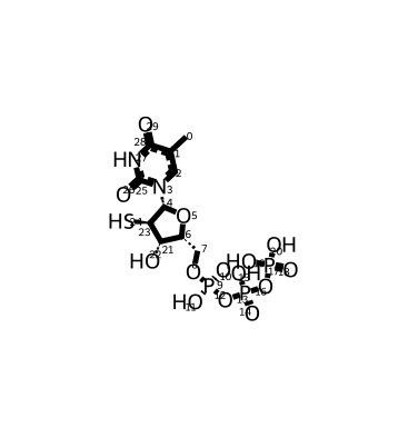 Cc1cn([C@@H]2O[C@H](COP(=O)(O)OP(=O)(O)OP(=O)(O)O)[C@H](O)[C@H]2S)c(=O)[nH]c1=O